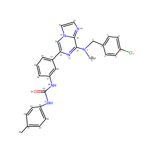 CCCCN(Cc1ccc(Cl)cc1)c1nc(-c2cccc(NC(=O)Nc3ccc(C)cc3)c2)cn2ccnc12